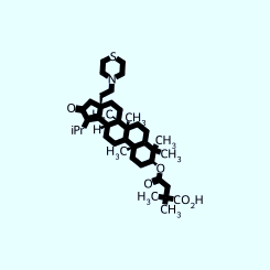 CC(C)C1=C2[C@H]3CCC4[C@@]5(C)CC[C@H](OC(=O)CC(C)(C)C(=O)O)C(C)(C)C5CC[C@@]4(C)[C@]3(C)CC[C@@]2(CCN2CCSCC2)CC1=O